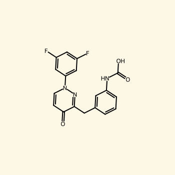 O=C(O)Nc1cccc(Cc2nn(-c3cc(F)cc(F)c3)ccc2=O)c1